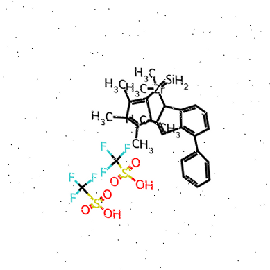 CC1=Cc2c(-c3ccccc3)cccc2[CH]1[Zr]([CH3])([CH3])(=[SiH2])[C]1=C(C)C(C)=C(C)C1C.O=S(=O)(O)C(F)(F)F.O=S(=O)(O)C(F)(F)F